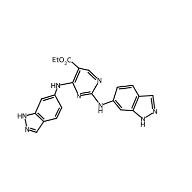 CCOC(=O)c1cnc(Nc2ccc3cn[nH]c3c2)nc1Nc1ccc2cn[nH]c2c1